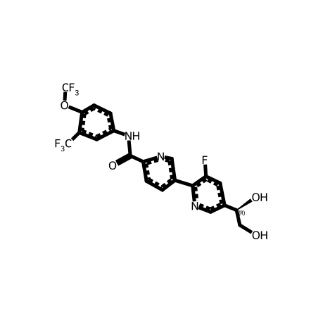 O=C(Nc1ccc(OC(F)(F)F)c(C(F)(F)F)c1)c1ccc(-c2ncc([C@@H](O)CO)cc2F)cn1